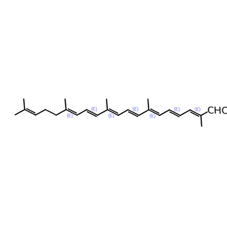 CC(C)=CCC/C(C)=C/C=C/C(C)=C/C=C/C(C)=C/C=C/C=C(\C)C=O